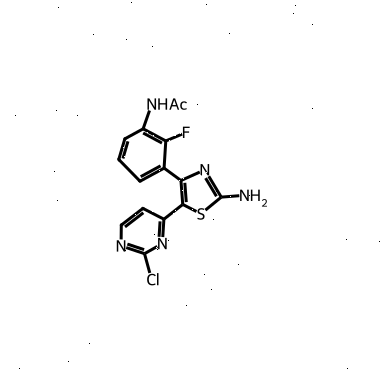 CC(=O)Nc1cccc(-c2nc(N)sc2-c2ccnc(Cl)n2)c1F